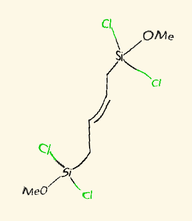 CO[Si](Cl)(Cl)CC=CC[Si](Cl)(Cl)OC